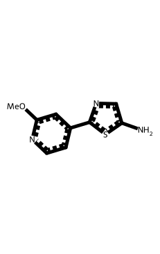 COc1cc(-c2ncc(N)s2)ccn1